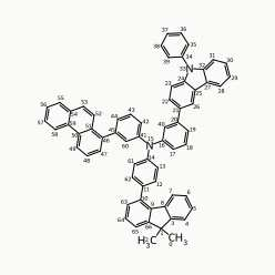 CC1(C)c2ccccc2-c2c(-c3ccc(N(c4cccc(-c5ccc6c(c5)c5ccccc5n6-c5ccccc5)c4)c4cccc(-c5cccc6c5ccc5ccccc56)c4)cc3)cccc21